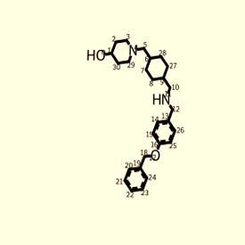 OC1CCN(CC2CCC(CNCc3ccc(OCc4ccccc4)cc3)CC2)CC1